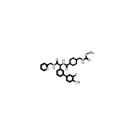 CC(C)(C)OC(=O)NCC1CCC(C(=O)NC(C(=O)NCc2ccccn2)c2cccc(-c3ccc(C#N)c(F)c3)c2)CC1